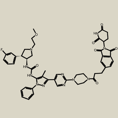 COCCN1C[C@@H](NC(=O)Nc2c(C)c(-c3cnc(N4CCN(C(=O)CCc5ccc6c(c5)C(=O)N(C5CCC(=O)NC5=O)C6=O)CC4)nc3)nn2-c2ccccc2)[C@H](c2cccc(F)c2)C1